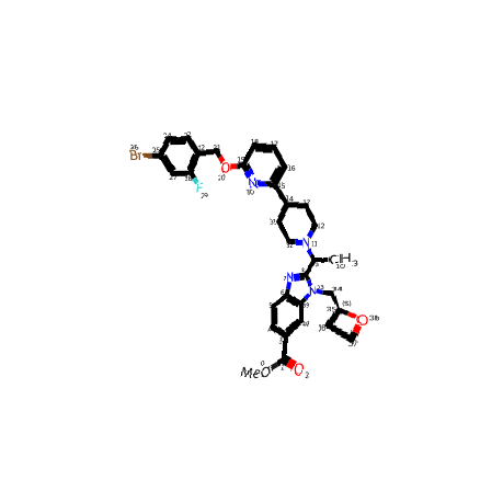 COC(=O)c1ccc2nc(C(C)N3CCC(c4cccc(OCc5ccc(Br)cc5F)n4)CC3)n(C[C@@H]3CCO3)c2c1